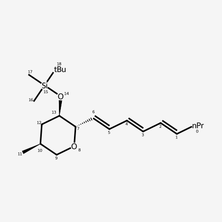 CCC/C=C/C=C/C=C/[C@@H]1OC[C@@H](C)C[C@H]1O[Si](C)(C)C(C)(C)C